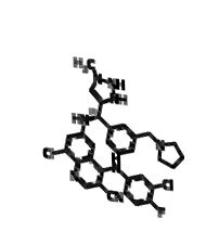 CN1C=C([C@H](Nc2cc(Cl)c3ncc(C#N)c(Nc4ccc(F)c(Cl)c4)c3c2)c2cccc(CN3CCCC3)c2)NN1